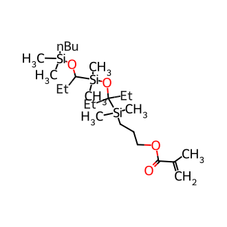 C=C(C)C(=O)OCCC[Si](C)(C)C(CC)(CC)O[Si](C)(C)C(CC)O[Si](C)(C)CCCC